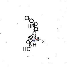 C=C(N)c1c(COc2cccc(NC(=O)c3ccc(Cl)cc3)c2)csc1/C(=C\C)C(=O)NCCO